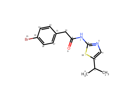 CC(C)c1cnc(NC(=O)Cc2ccc(Br)cc2)s1